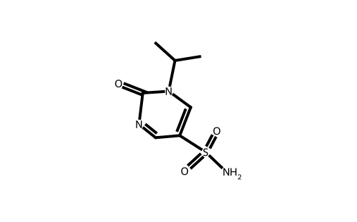 CC(C)n1cc(S(N)(=O)=O)cnc1=O